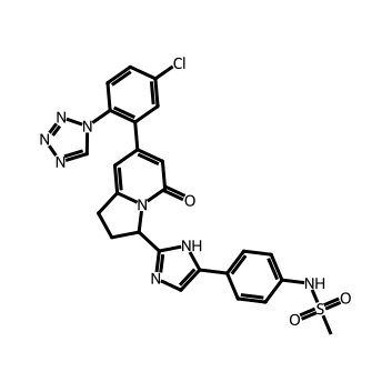 CS(=O)(=O)Nc1ccc(-c2cnc(C3CCc4cc(-c5cc(Cl)ccc5-n5cnnn5)cc(=O)n43)[nH]2)cc1